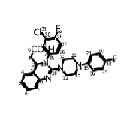 O=C(O)CC1c2ccccc2N=C(N2CCN(c3ccc(F)cc3)CC2)N1c1ccc(F)c(Cl)c1